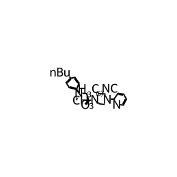 CCCCc1ccc(N(C)CC(=O)N2CCN(c3ncccc3C#N)C[C@@H]2C)cc1